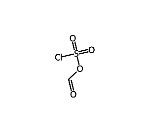 O=COS(=O)(=O)Cl